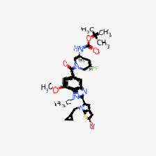 COc1cc(C(=O)N2C[C@H](F)C[C@@H](NC(=O)OC(C)(C)C)C2)cc2nc(-c3cc4cc(Br)sc4n3CC3CC3)n(C)c12